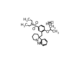 CCN(CC)S(=O)(=O)c1ccc(OC(C)C)c(CC2(c3ccccc3)CCCCN2N)c1.Cl.Cl